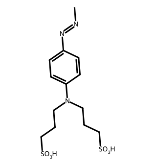 CN=Nc1ccc(N(CCCS(=O)(=O)O)CCCS(=O)(=O)O)cc1